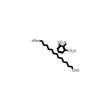 CCCCCCCCCCCCCCCCCCCCCCCC=O.Cc1c(C(=O)O)cccc1C(=O)O